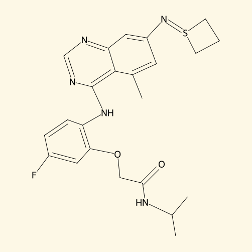 Cc1cc(N=S2CCC2)cc2ncnc(Nc3ccc(F)cc3OCC(=O)NC(C)C)c12